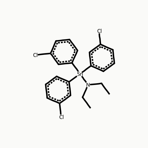 CC[N](CC)[Sn]([c]1cccc(Cl)c1)([c]1cccc(Cl)c1)[c]1cccc(Cl)c1